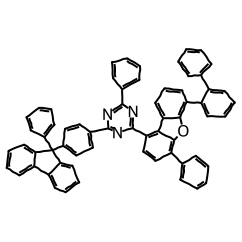 c1ccc(-c2nc(-c3ccc(C4(c5ccccc5)c5ccccc5-c5ccccc54)cc3)nc(-c3ccc(-c4ccccc4)c4oc5c(-c6ccccc6-c6ccccc6)cccc5c34)n2)cc1